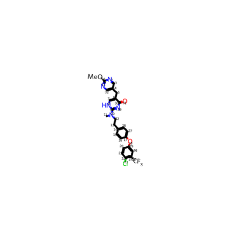 COc1ncc(Cc2c[nH]c(N(C)CCc3ccc(Oc4ccc(Cl)c(C(F)(F)F)c4)cc3)nc2=O)cn1